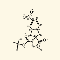 CNC(=O)C1(NC(=O)OC(C)(C)C)Cc2ccc([N+](=O)[O-])cc2C1